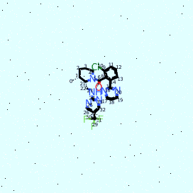 C[C@@H]1CCCN(C(=O)c2c(Cl)cccc2-c2ncccn2)[C@@H]1CNc1ncc(C(F)(F)F)cn1